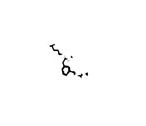 CC(=O)OC(C)OC(=O)c1cccc2c1OB(O)[C@@H](NC(=O)CCC(F)(F)F)C2